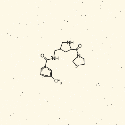 O=C(NCC1CNC(C(=O)N2CCSC2)C1)c1cccc(C(F)(F)F)c1